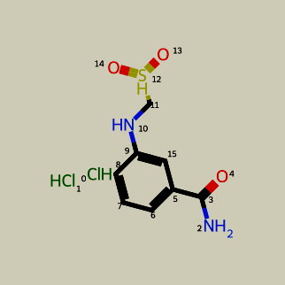 Cl.Cl.NC(=O)c1cccc(NC[SH](=O)=O)c1